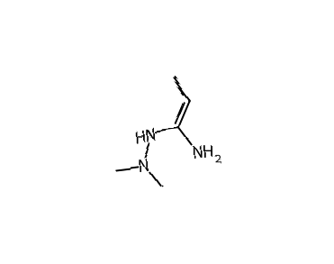 CC=C(N)NN(C)C